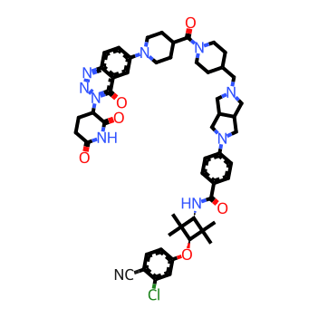 CC1(C)[C@H](NC(=O)c2ccc(N3CC4CN(CC5CCN(C(=O)C6CCN(c7ccc8nnn(C9CCC(=O)NC9=O)c(=O)c8c7)CC6)CC5)CC4C3)cc2)C(C)(C)[C@H]1Oc1ccc(C#N)c(Cl)c1